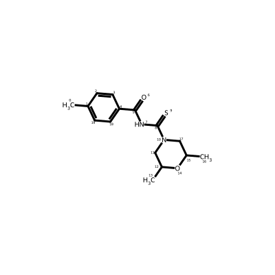 Cc1ccc(C(=O)NC(=S)N2CC(C)OC(C)C2)cc1